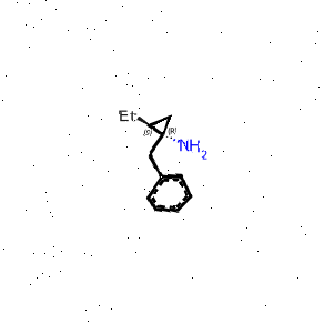 CC[C@H]1C[C@@]1(N)Cc1ccccc1